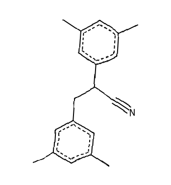 Cc1cc(C)cc(CC(C#N)c2cc(C)cc(C)c2)c1